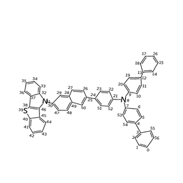 c1ccc(-c2ccc(N(c3ccc(-c4ccccc4)cc3)c3ccc(-c4ccc5cc(-n6c7ccccc7c7sc8ccccc8c76)ccc5c4)cc3)cc2)cc1